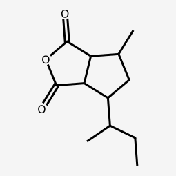 CCC(C)C1CC(C)C2C(=O)OC(=O)C12